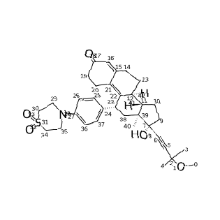 COC(C)(C)C#C[C@]1(O)CC[C@H]2[C@@H]3CCC4=CC(=O)CCC4=C3[C@@H](c3ccc(N4CCS(=O)(=O)CC4)cc3)C[C@@]21C